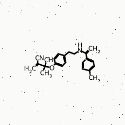 C=C(NCCc1ccc(OC(C)(C)C(=C)C#N)cc1)c1ccc(C)cc1